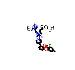 CCn1cncc1Cn1c(CCC(=O)O)cnc1CN1CCC(c2cccc3c2OC(C)(c2ccc(C)cc2F)O3)CC1